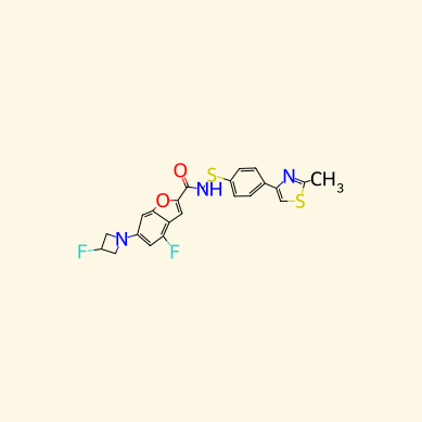 Cc1nc(-c2ccc(SNC(=O)c3cc4c(F)cc(N5CC(F)C5)cc4o3)cc2)cs1